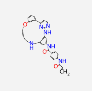 C=CC(=O)Nc1ccc(C(=O)Nc2cc3cc(c2)Nc2nccc(n2)-c2cccc(c2)OC/C=C\CCNC3)cc1